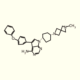 CN1CC2(C1)CN([C@H]1CC[C@@H](n3cc(-c4ccc(Oc5ccccc5)cc4)c4c(N)ncnc43)CC1)C2